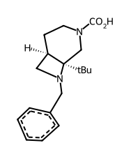 CC(C)(C)[C@@]12CN(C(=O)O)CC[C@@H]1CN2Cc1ccccc1